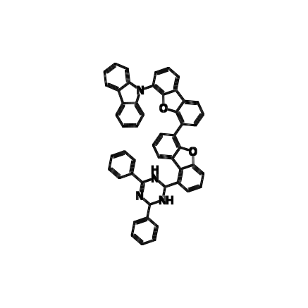 c1ccc(C2=NC(c3ccccc3)NC(c3cccc4oc5c(-c6cccc7c6oc6c(-n8c9ccccc9c9ccccc98)cccc67)cccc5c34)N2)cc1